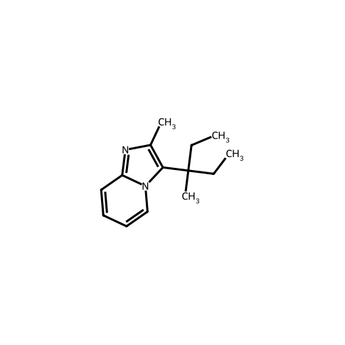 CCC(C)(CC)c1c(C)nc2ccccn12